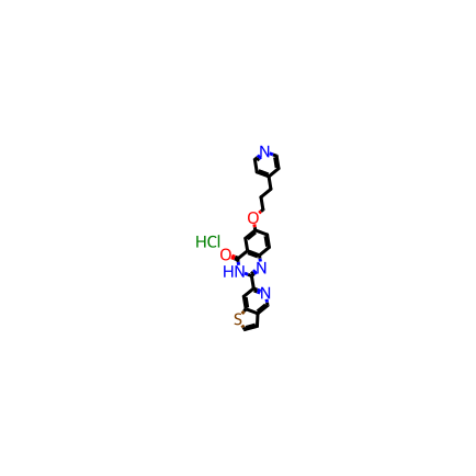 Cl.O=c1[nH]c(-c2cc3sccc3cn2)nc2ccc(OCCCc3ccncc3)cc12